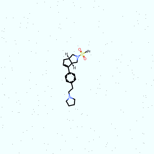 CC(C)S(=O)(=O)N1C[C@H]2CC=C(c3ccc(CCN4CCCC4)cc3)[C@H]2C1